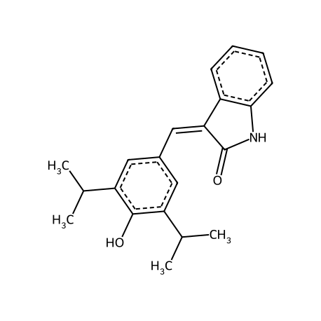 CC(C)c1cc(C=C2C(=O)Nc3ccccc32)cc(C(C)C)c1O